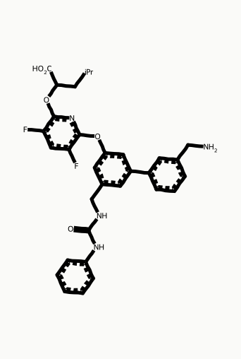 CC(C)CC(Oc1nc(Oc2cc(CNC(=O)Nc3ccccc3)cc(-c3cccc(CN)c3)c2)c(F)cc1F)C(=O)O